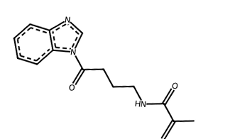 C=C(C)C(=O)NCCCC(=O)n1cnc2ccccc21